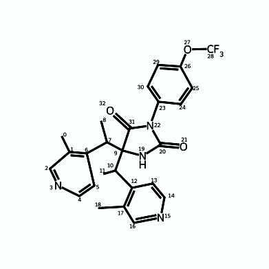 Cc1cnccc1C(C)C1(C(C)c2ccncc2C)NC(=O)N(c2ccc(OC(F)(F)F)cc2)C1=O